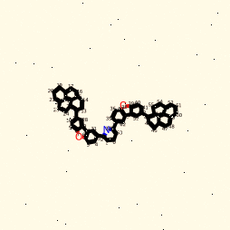 c1cc(-c2ccc3oc4ccc(-c5ccc6ccc7cccc8ccc5c6c78)cc4c3c2)nc(-c2ccc3oc4ccc(-c5ccc6ccc7cccc8ccc5c6c78)cc4c3c2)c1